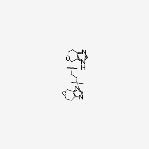 CC(C)(CCC(C)(C)n1cnc2c1COCC2)C1OCCc2nc[nH]c21